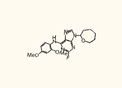 COc1ccc(Nc2nc(F)nc3c2ncn3C2CCCCCO2)c(OC)c1